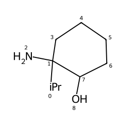 CC(C)C1(N)CCCCC1O